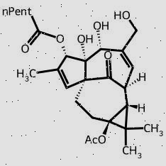 CCCCCC(=O)O[C@H]1C(C)=C[C@@]23CC[C@]4(OC(C)=O)[C@H]([C@H](C=C(CO)[C@@H](O)[C@]12O)C3=O)C4(C)C